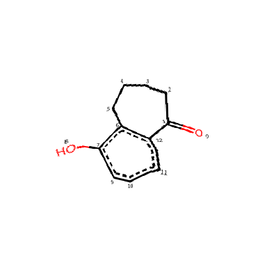 O=C1CCCCc2c(O)cccc21